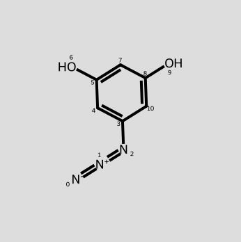 [N-]=[N+]=Nc1cc(O)cc(O)c1